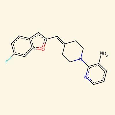 O=[N+]([O-])c1cccnc1N1CCC(=Cc2cc3ccc(F)cc3o2)CC1